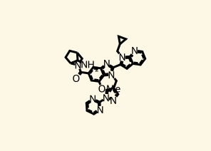 COc1cc(C(=O)N2CC3CCC2C3N)cc2nc(-c3cc4cccnc4n3CC3CC3)n(Cc3cnn(-c4ncccn4)c3)c12